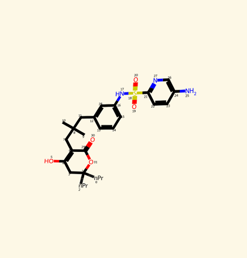 CCCC1(CCC)CC(O)=C(CC(C)(C)Cc2cccc(NS(=O)(=O)c3ccc(N)cn3)c2)C(=O)O1